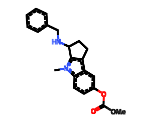 COC(=O)Oc1ccc2c(c1)c1c(n2C)C(NCc2ccccc2)CC1